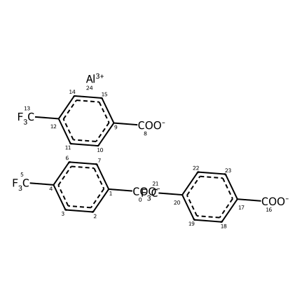 O=C([O-])c1ccc(C(F)(F)F)cc1.O=C([O-])c1ccc(C(F)(F)F)cc1.O=C([O-])c1ccc(C(F)(F)F)cc1.[Al+3]